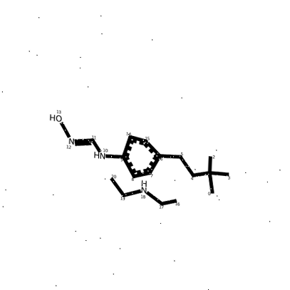 CC(C)(C)CCc1ccc(NC=NO)cc1.CCNCC